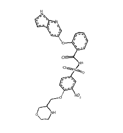 O=C(NS(=O)(=O)c1ccc(OCC2COCCN2)c([N+](=O)[O-])c1)c1ccccc1Oc1cnc2[nH]ccc2c1